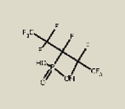 O=P(O)(O)C(F)(C(F)(F)C(F)(F)F)C(F)(F)C(F)(F)F